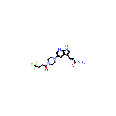 NC(=O)/C=C/c1c[nH]c2ncc(N3CCN(C(=O)CCC(F)(F)F)CC3)cc12